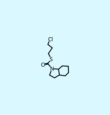 O=C(SCCCCl)N1CCC2CCCCC21